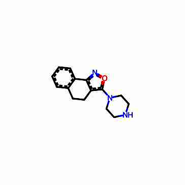 c1ccc2c(c1)CCc1c-2noc1N1CCNCC1